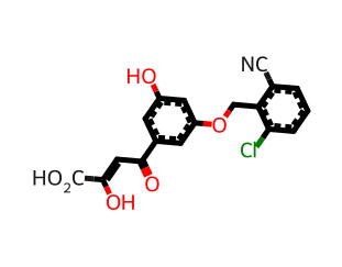 N#Cc1cccc(Cl)c1COc1cc(O)cc(C(=O)/C=C(\O)C(=O)O)c1